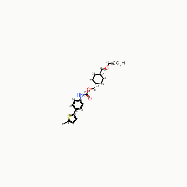 Cc1ccc(-c2ccc(NC(=O)OC[C@H]3CC[C@H](COCC(=O)O)CC3)cc2)s1